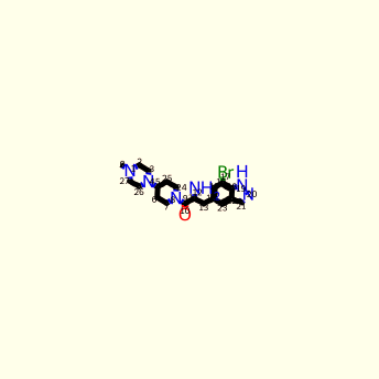 CN1CCN(C2CCN(C(=O)C(N)Cc3cc(Br)c4[nH]ncc4c3)CC2)CC1